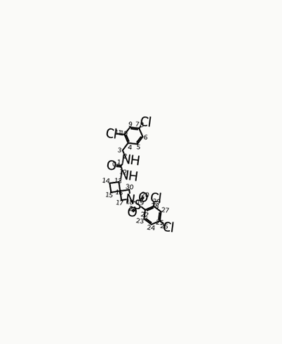 O=C(NCc1ccc(Cl)cc1Cl)N[C@H]1CCC12CN(S(=O)(=O)c1ccc(Cl)cc1Cl)C2